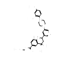 CCOC(=O)c1ccc2c(c1)C(C)(C)CC(c1cncc(N3CCN(c4ccc(C)cc4C)CC3)c1)N2